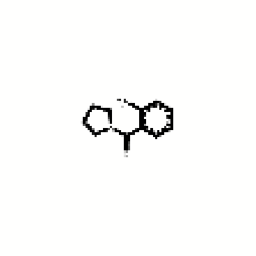 O=C(c1ccccc1[N+](=O)[O-])N1CCCC1